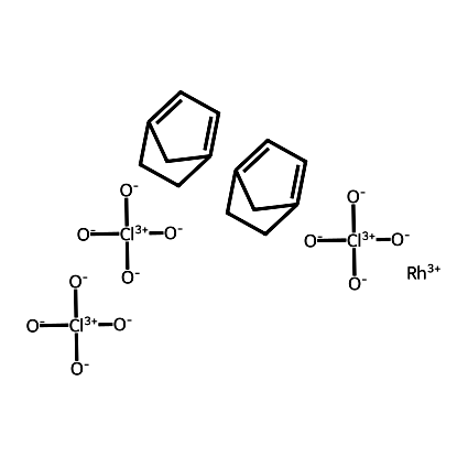 C1=C2CCC(=C1)C2.C1=C2CCC(=C1)C2.[O-][Cl+3]([O-])([O-])[O-].[O-][Cl+3]([O-])([O-])[O-].[O-][Cl+3]([O-])([O-])[O-].[Rh+3]